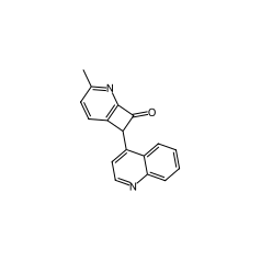 Cc1ccc2c(n1)C(=O)C2c1ccnc2ccccc12